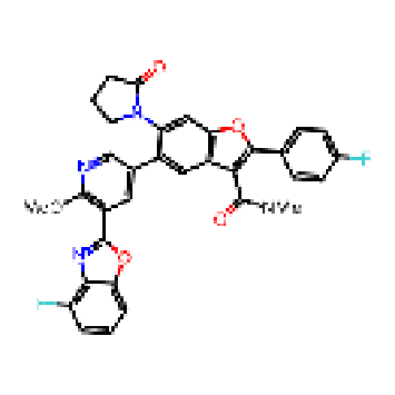 CNC(=O)c1c(-c2ccc(F)cc2)oc2cc(N3CCCC3=O)c(-c3cnc(OC)c(-c4nc5c(F)cccc5o4)c3)cc12